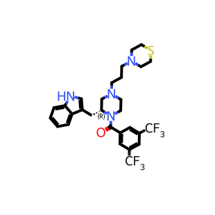 O=C(c1cc(C(F)(F)F)cc(C(F)(F)F)c1)N1CCN(CCCN2CCSCC2)C[C@H]1Cc1c[nH]c2ccccc12